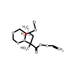 C=CCOC(=O)C(C[C@@](C)(N)OCC)(C(=O)O)N1CCOCS1